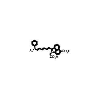 CC(=O)N(/C=C/C=C/C=C/C1=[N+](CC(=O)O)c2ccc(S(=O)(=O)O)c3cccc1c23)c1ccccc1